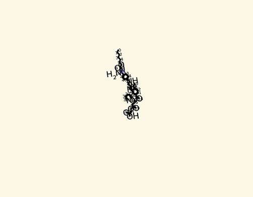 CCCCCCOC(=O)/N=C(\N)c1ccc(NCc2nc3cc(C(=O)N(CCC(=O)OCC(=O)O)c4ccccn4)ccc3n2C)cc1